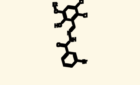 CCOc1cc(Cl)c(Cl)c(C=NNC(=O)c2cccc(Br)c2)c1O